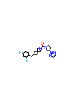 O=C(N1CC[C@@H](n2nccn2)C1)N1CC2(CC(Cc3ccc(F)cc3F)C2)C1